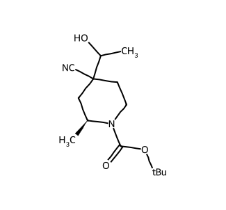 CC(O)C1(C#N)CCN(C(=O)OC(C)(C)C)[C@@H](C)C1